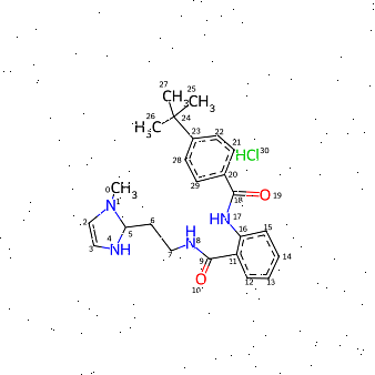 CN1C=CNC1CCNC(=O)c1ccccc1NC(=O)c1ccc(C(C)(C)C)cc1.Cl